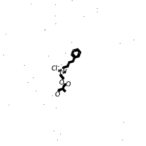 CC(C=O)C(=O)OCC[N+](C)(C)CCCCc1ccccc1.[Cl-]